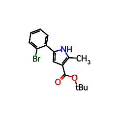 Cc1[nH]c(-c2ccccc2Br)cc1C(=O)OC(C)(C)C